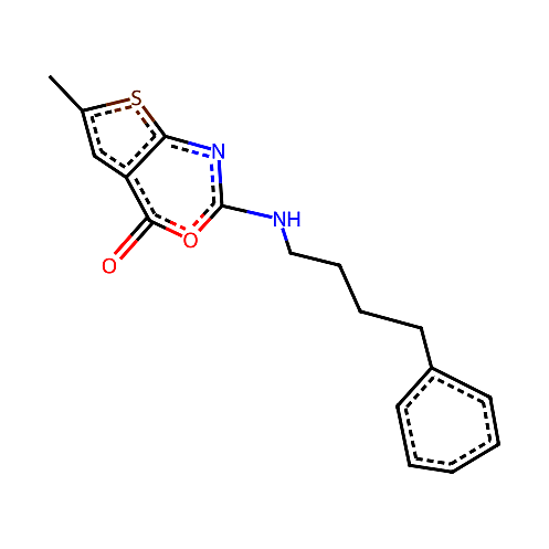 Cc1cc2c(=O)oc(NCCCCc3ccccc3)nc2s1